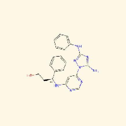 Nc1nc(Nc2ccccc2)nn1-c1cc(N[C@@H](CCO)c2ccccc2)ncn1